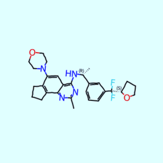 Cc1nc(N[C@H](C)c2cccc(C(F)(F)[C@@H]3CCCO3)c2)c2cc(N3CCOCC3)c3c(c2n1)CCC3